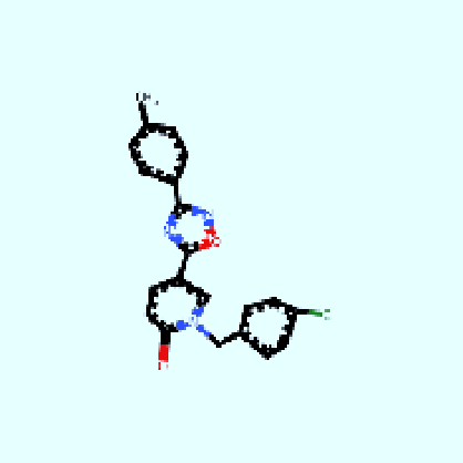 Cc1ccc(-c2noc(-c3ccc(=O)n(Cc4ccc(Cl)cc4)c3)n2)cc1